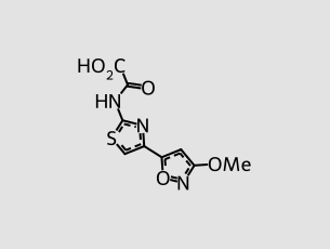 COc1cc(-c2csc(NC(=O)C(=O)O)n2)on1